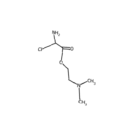 CN(C)CCOC(=O)C(N)Cl